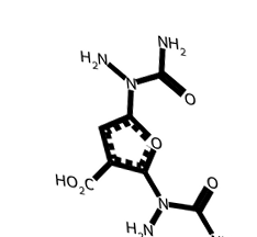 NC(=O)N(N)c1cc(C(=O)O)c(N(N)C(N)=O)o1